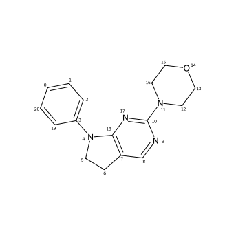 c1ccc(N2CCc3cnc(N4CCOCC4)nc32)cc1